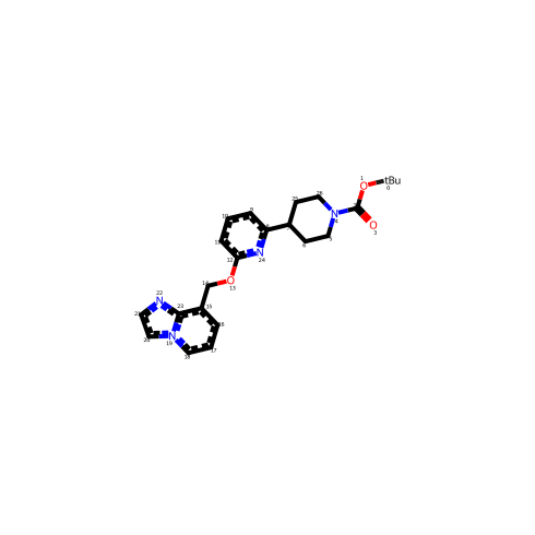 CC(C)(C)OC(=O)N1CCC(c2cccc(OCc3cccn4ccnc34)n2)CC1